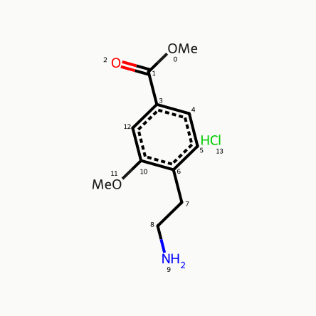 COC(=O)c1ccc(CCN)c(OC)c1.Cl